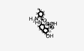 Cc1ccc(C(=O)Nc2ccc3cc(O)cc(S(=O)(=O)O)c3c2)c(N)c1